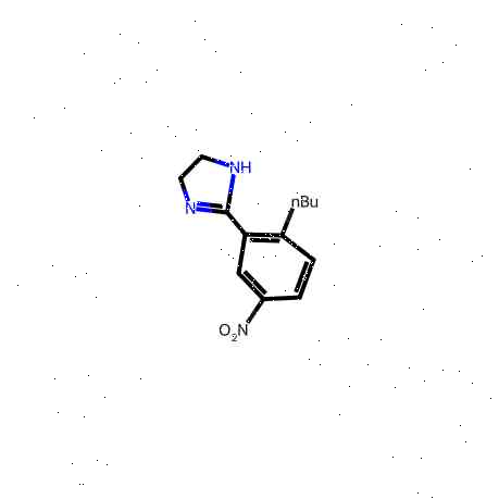 CCCCc1ccc([N+](=O)[O-])cc1C1=NCCN1